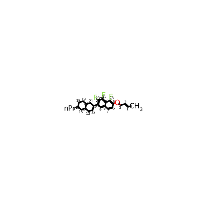 C/C=C/COc1ccc2cc(C3CCC4CC(CCC)CCC4C3)c(F)c(F)c2c1F